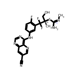 C/N=C(/N)S[C@@](C)(CO)C(F)(F)c1cc(Nc2ncnc3cc(C#N)cnc23)ccc1F